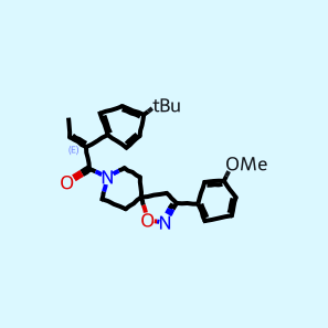 C/C=C(/C(=O)N1CCC2(CC1)CC(c1cccc(OC)c1)=NO2)c1ccc(C(C)(C)C)cc1